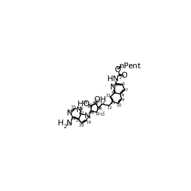 CCCCCOC(=O)Nc1ccc2ccc(CC[C@@]3(C)C[C@@H](n4ccc5c(N)ncnc54)[C@H](O)[C@@H]3O)cc2n1